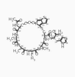 CC(=O)N[C@H]1CCCCn2cc3sccc3c2SC[C@@H](C(=O)N[C@@H](Cc2cnc[nH]2)C(N)=O)NC(=O)[C@H](C)NC(=O)[C@H](C)NC(=O)[C@H](C)NC(=O)[C@H](C)NC1=O